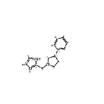 c1ccc(N2CCN(Cc3nnn[nH]3)C2)cc1